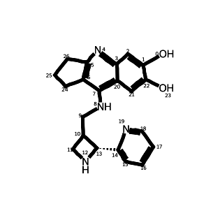 Oc1cc2nc3c(c(NCC4CN[C@H]4c4ccccn4)c2cc1O)CCC3